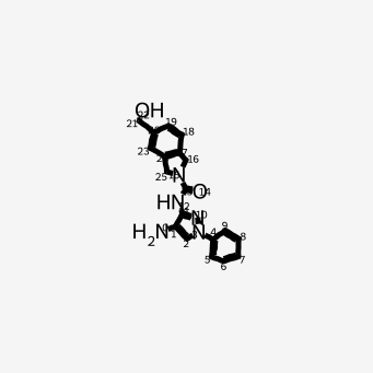 Nc1cn(-c2ccccc2)nc1NC(=O)N1Cc2ccc(CO)cc2C1